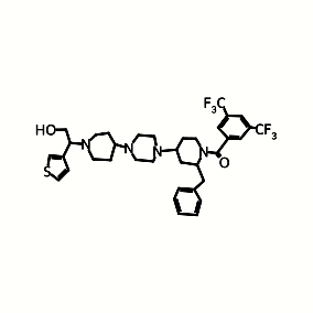 O=C(c1cc(C(F)(F)F)cc(C(F)(F)F)c1)N1CCC(N2CCN(C3CCN(C(CO)c4ccsc4)CC3)CC2)CC1Cc1ccccc1